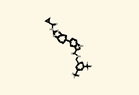 O=C(NCc1cc(C(F)(F)F)cc(C(F)(F)F)c1)c1c[nH]c2ccc(-c3ccc4nc(NC(=O)C5CC5)sc4c3)cc12